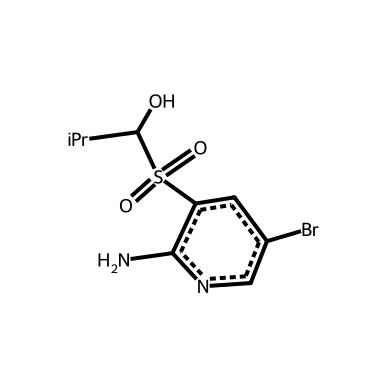 CC(C)C(O)S(=O)(=O)c1cc(Br)cnc1N